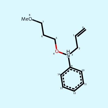 C=CC[SiH](OCCCOC)c1ccccc1